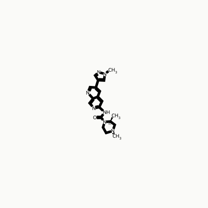 C[C@H]1CN(C)CCN1C(=O)Nc1cc2cc(-c3cnn(C)c3)cnc2cn1